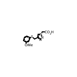 COc1cccc(SCc2cn(CC(=O)O)nn2)c1